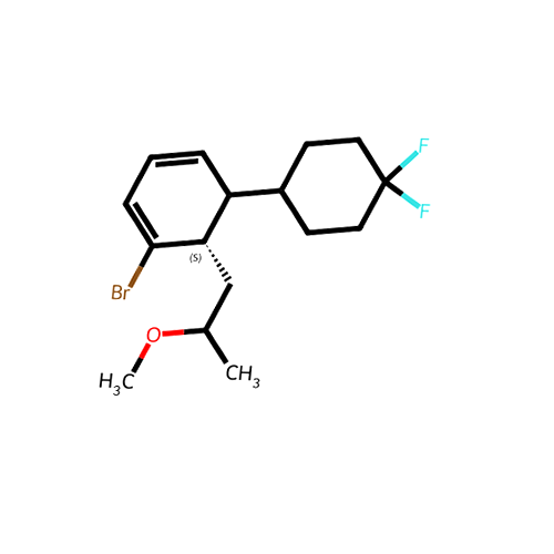 COC(C)C[C@@H]1C(Br)=CC=CC1C1CCC(F)(F)CC1